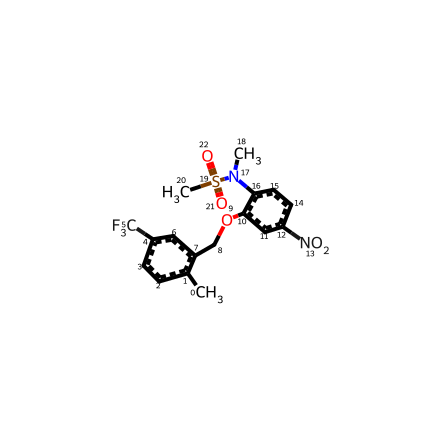 Cc1ccc(C(F)(F)F)cc1COc1cc([N+](=O)[O-])ccc1N(C)S(C)(=O)=O